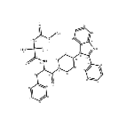 CC(C)(C)OC(=O)NC(C)(C)C(=O)NC(Cc1ccccc1)C(=O)N1CCC(n2c(-c3ccccc3)nc3ccccc32)CC1